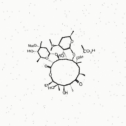 CC(=O)O.CC[C@H]1OC(=O)[C@H](C)[C@@H](O[C@H]2C[C@@](C)(OC)[C@@H](O)[C@H](C)O2)[C@H](C)[C@@H](O[C@@H]2O[C@H](C)C[C@H](N(C)C)[C@H]2O)[C@](C)(OC)C[C@@H](C)C(=O)[C@H](C)[C@@H](O)[C@]1(C)O